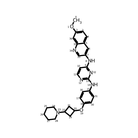 COc1ccc2cc(Nc3ccnc(Nc4ccc(OC5CC(N6CCCCC6)C5)cc4)n3)cnc2c1